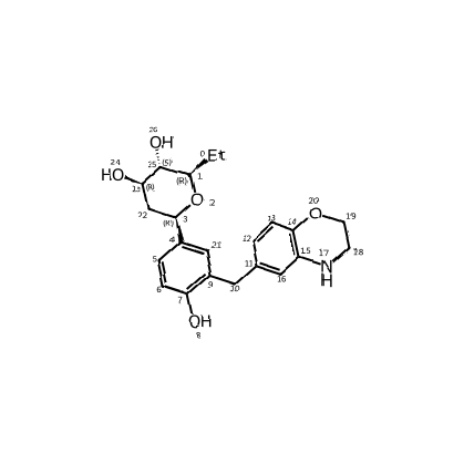 CC[C@H]1O[C@@H](c2ccc(O)c(Cc3ccc4c(c3)NCCO4)c2)C[C@@H](O)[C@@H]1O